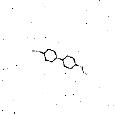 CCCCCCCCCCC1CCC(C2CCC(OCCCC)CC2)CC1